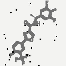 Cc1c(F)cc([C@@H](C)NC(=O)c2coc(-c3ccc(F)c(C(F)(F)F)c3)n2)cc1F